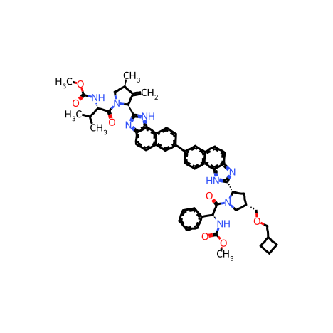 C=C1[C@H](C)CN(C(=O)[C@@H](NC(=O)OC)C(C)C)[C@@H]1c1nc2ccc3cc(-c4ccc5c(ccc6nc([C@@H]7C[C@H](COCC8CCC8)CN7C(=O)[C@H](NC(=O)OC)c7ccccc7)[nH]c65)c4)ccc3c2[nH]1